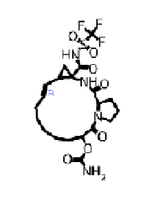 NC(=O)OC1CCCCC/C=C/C2CC2(C(=O)NS(=O)(=O)C(F)(F)F)NC(=O)C2CCCN2C1=O